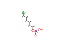 O=[P](O)OCCCCCCBr